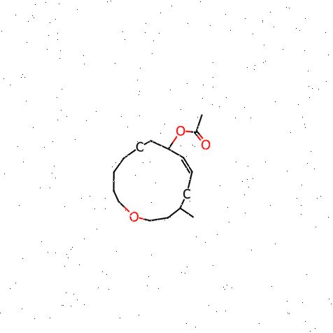 CC(=O)OC1C=CCC(C)CCOCCCCCC1